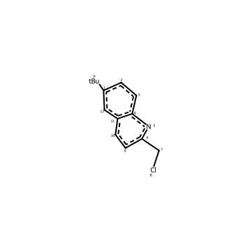 CC(C)(C)c1ccc2nc(CCl)ccc2c1